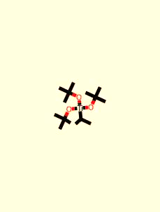 C[CH](C)[Ti]([O]C(C)(C)C)([O]C(C)(C)C)[O]C(C)(C)C